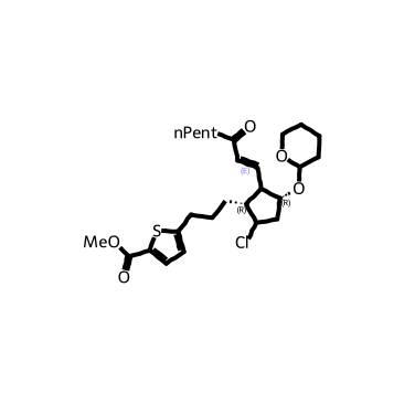 CCCCCC(=O)/C=C/C1[C@@H](CCCc2ccc(C(=O)OC)s2)C(Cl)C[C@H]1OC1CCCCO1